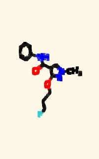 Cn1cc(C(=O)Nc2ccccc2)c(OCCCF)n1